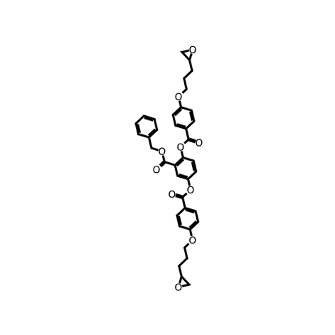 O=C(Oc1ccc(OC(=O)c2ccc(OCCCC3CO3)cc2)c(C(=O)OCc2ccccc2)c1)c1ccc(OCCCC2CO2)cc1